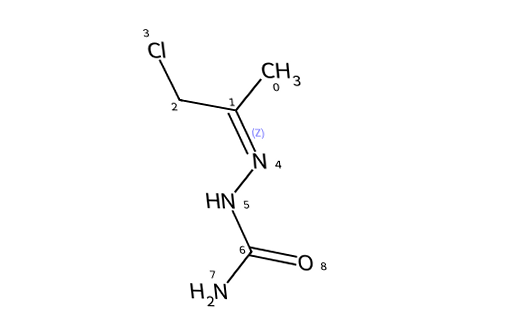 C/C(CCl)=N/NC(N)=O